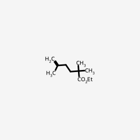 C=C(C)CCC(C)(C)C(=O)OCC